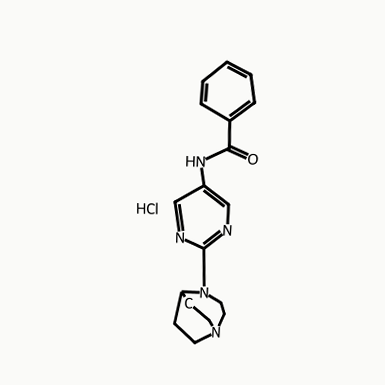 Cl.O=C(Nc1cnc(N2CCN3CCC2CC3)nc1)c1ccccc1